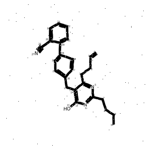 C=CCCc1nc(CCCC)nc(O)c1Cc1ccc(-c2ccccc2C#N)cc1